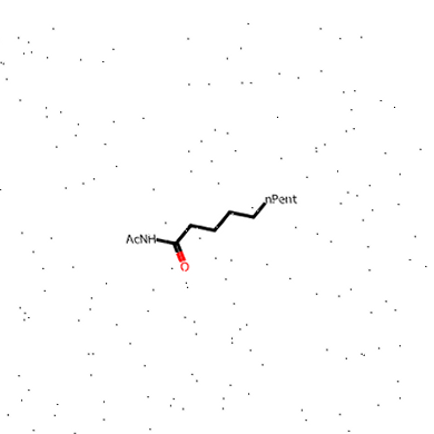 CCCCCCCCCC(=O)NC(C)=O